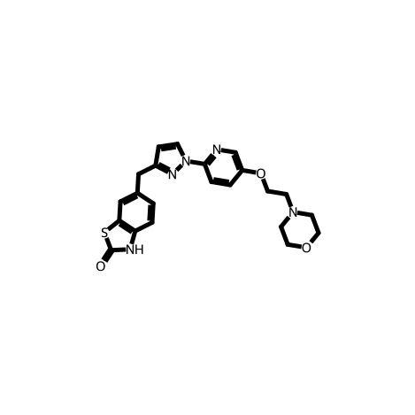 O=c1[nH]c2ccc(Cc3ccn(-c4ccc(OCCN5CCOCC5)cn4)n3)cc2s1